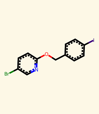 Brc1ccc(OCc2ccc(I)cc2)nc1